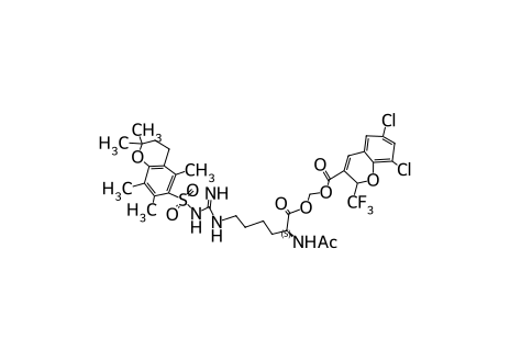 CC(=O)N[C@@H](CCCCNC(=N)NS(=O)(=O)c1c(C)c(C)c2c(c1C)CCC(C)(C)O2)C(=O)OCOC(=O)C1=Cc2cc(Cl)cc(Cl)c2OC1C(F)(F)F